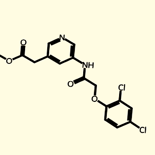 COC(=O)Cc1cncc(NC(=O)COc2ccc(Cl)cc2Cl)c1